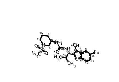 Cc1c([C@@H](NC(=O)NC2CCCN(S(C)(=O)=O)C2)C(C)C)oc2ccc(F)cc12